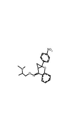 CC(CON=C1c2ccccc2OC2(c3ccc([N+](=O)[O-])cc3)CC12)N(C)C